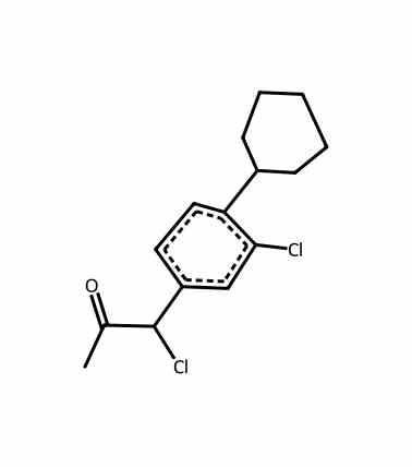 CC(=O)C(Cl)c1ccc(C2CCCCC2)c(Cl)c1